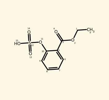 CCOC(=O)c1ccccc1OS(=O)(=O)O